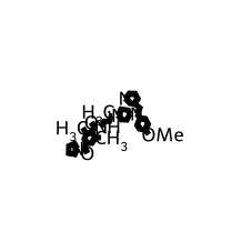 COc1ccc(N(Cc2cccnc2)C2CCN([C@H](C)CCNC(=O)c3c(C)cc(C(=O)N4CCCC4)cc3C)CC2)cc1